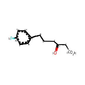 O=C(O)CC(=O)CCCc1ccc(F)cc1